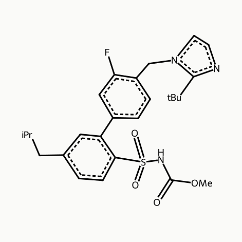 COC(=O)NS(=O)(=O)c1ccc(CC(C)C)cc1-c1ccc(Cn2ccnc2C(C)(C)C)c(F)c1